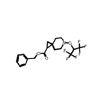 O=C(OCc1ccccc1)C1CC12CCN(OC(C(F)(F)F)C(F)(F)F)CC2